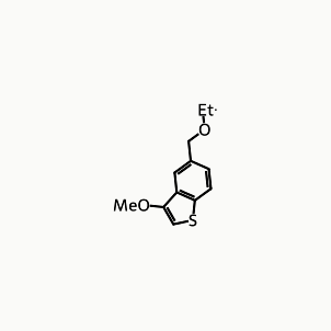 C[CH]OCc1ccc2scc(OC)c2c1